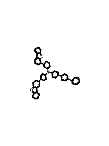 c1ccc(-c2ccc(-c3ccc(N(c4ccc(-c5ccc6oc7ccccc7c6c5)cc4)c4cccc(-c5cccc6c5oc5ccccc56)c4)cc3)cc2)cc1